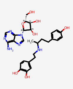 CC(CCc1ccc(O)cc1)NCCc1ccc(O)c(O)c1.Nc1ncnc2c1ncn2[C@@H]1O[C@H](CO)[C@@H](O)[C@H]1O